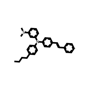 CCCCc1ccc(N(c2ccc(C=Cc3cc[c]cc3)cc2)c2cccc([S+](C)C)c2)cc1